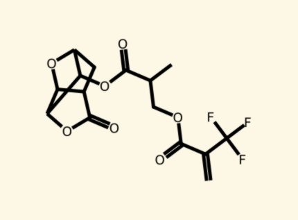 C=C(C(=O)OCC(C)C(=O)OC1C2CC3C(=O)OC1C3O2)C(F)(F)F